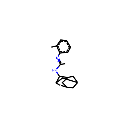 C/C(=N\c1ccccc1C)NC1C2CC3CC(C2)CC1C3